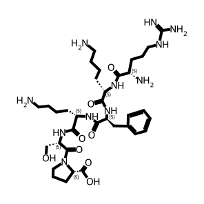 N=C(N)NCCC[C@H](N)C(=O)N[C@@H](CCCCN)C(=O)N[C@@H](Cc1ccccc1)C(=O)N[C@@H](CCCCN)C(=O)N[C@@H](CO)C(=O)N1CCC[C@H]1C(=O)O